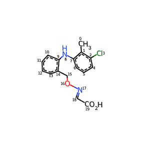 Cc1c(Cl)cccc1Nc1ccccc1CON=CC(=O)O